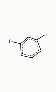 [CH]c1cccc(F)c1